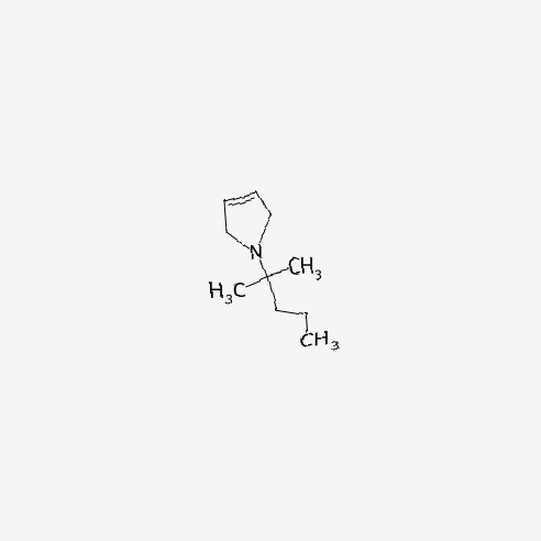 CCCC(C)(C)N1CC=CC1